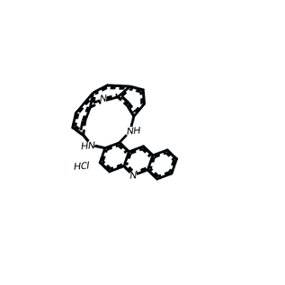 Cl.c1ccc2nc3ccc4c(c3cc2c1)Nc1ccc2cc3ccc(cc3nc2c1)N4